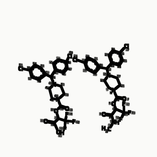 CNC(=O)C(OC(=O)N1CCN(C(c2ccc(Cl)cc2)c2ccc(Cl)cc2)CC1)C(F)(F)F.O=C(O)C(OC(=O)N1CCN(C(c2ccc(Cl)cc2)c2ccc(Cl)cc2)CC1)C(F)(F)F